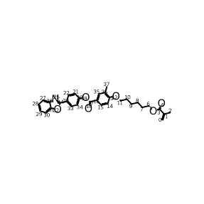 C=C(C)C(=O)OCCCCCCOc1ccc(C(=O)Oc2ccc(-c3nc4ccccc4o3)cc2)cc1C